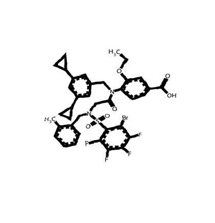 CCOc1cc(C(=O)O)ccc1N(Cc1cc(C2CC2)cc(C2CC2)c1)C(=O)CN(Cc1ccccc1C)S(=O)(=O)c1c(F)c(F)c(F)c(F)c1Br